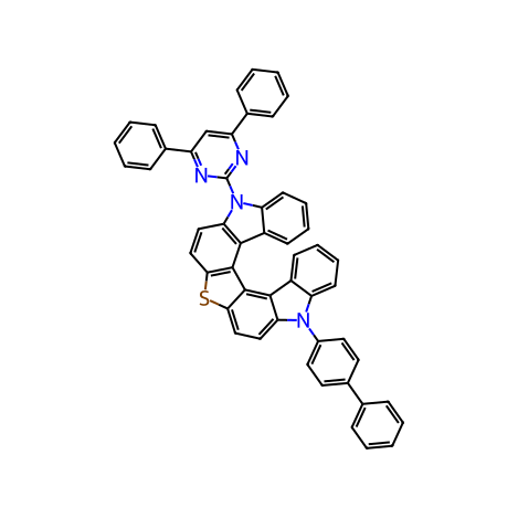 c1ccc(-c2ccc(-n3c4ccccc4c4c5c(ccc43)sc3ccc4c(c6ccccc6n4-c4nc(-c6ccccc6)cc(-c6ccccc6)n4)c35)cc2)cc1